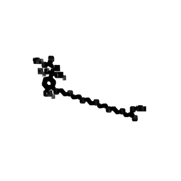 Cc1ccc(C(C)(C)NC(=O)OC(C)(C)C)cc1OCCOCCOCCOCCOCCOCC(=O)OC(C)(C)C